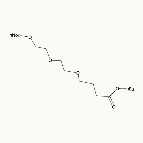 CCCCCCCCCOCCOCCOCCCC(=O)OCCCC